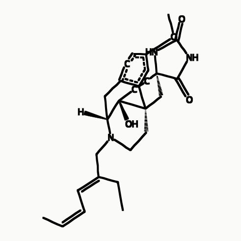 C/C=C\C=C(/CC)CN1CC[C@]23C[C@]4(CC[C@@]2(O)[C@H]1Cc1ccc(OC)cc13)NC(=O)NC4=O